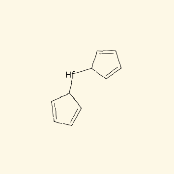 C1=C[CH]([Hf][CH]2C=CC=C2)C=C1